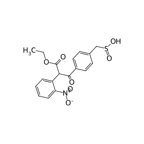 CCOC(=O)C(C(=O)c1ccc(CS(=O)O)cc1)c1ccccc1[N+](=O)[O-]